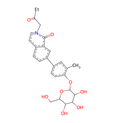 CCC(=O)Cn1ccc2ccc(-c3ccc(OC4OC(CO)C(O)C(O)C4O)c(C)c3)cc2c1=O